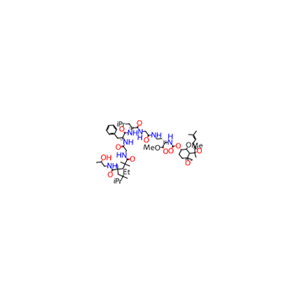 CCC(C)(CC(C)(CC(C)(C)C(=O)NCC(=O)N[C@@H](Cc1ccccc1)C(=O)N[C@@H](CC(C)C)C(=O)NCC(=O)NCC[C@H](NC(=O)OC1CC[C@]2(CO2)C(C2(C)O[C@@H]2CC=C(C)C)C1OC)C(=O)OC)C(=O)NCC(C)O)C(C)C